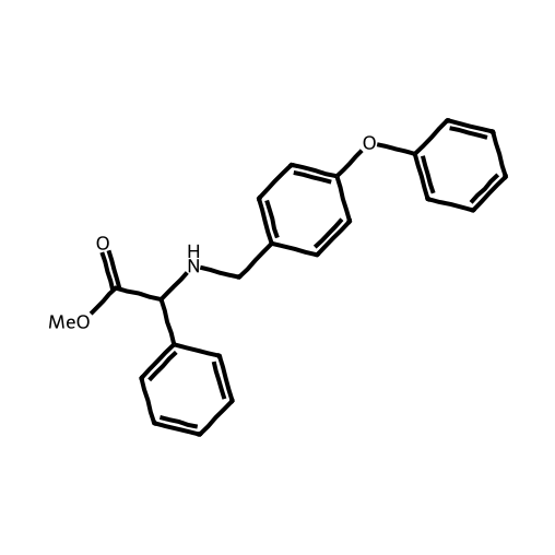 COC(=O)C(NCc1ccc(Oc2ccccc2)cc1)c1ccccc1